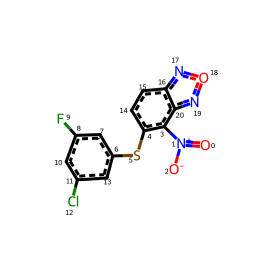 O=[N+]([O-])c1c(Sc2cc(F)cc(Cl)c2)ccc2nonc12